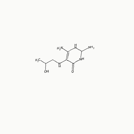 CC(O)CNC1=C(N)NC(N)NC1=O